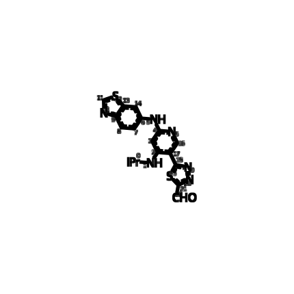 CC(C)Nc1cc(Nc2ccc3ncsc3c2)ncc1-c1nnc(C=O)s1